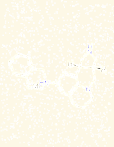 COc1ccccc1CNc1cc2c3c(c1)[C@@H]1CNC[C@@H]1CN3CCC2